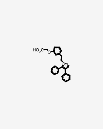 O=C(O)COc1cccc(CCn2ncc(-c3ccccc3)c2-c2ccccc2)c1